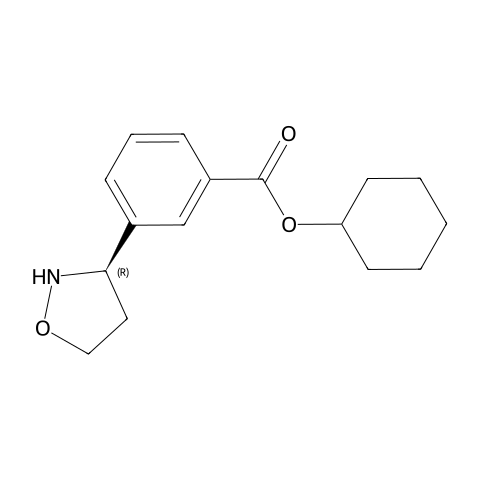 O=C(OC1CCCCC1)c1cccc([C@H]2CCON2)c1